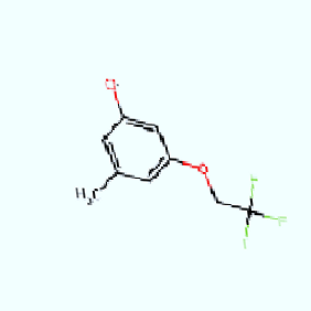 Cc1cc([O])cc(OCC(F)(F)F)c1